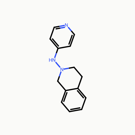 c1ccc2c(c1)CCN(Nc1ccncc1)C2